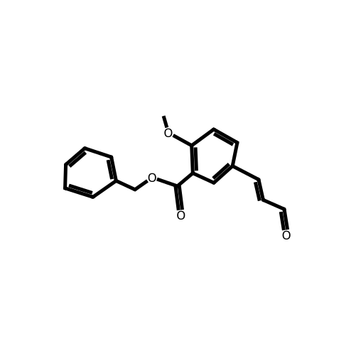 COc1ccc(C=CC=O)cc1C(=O)OCc1ccccc1